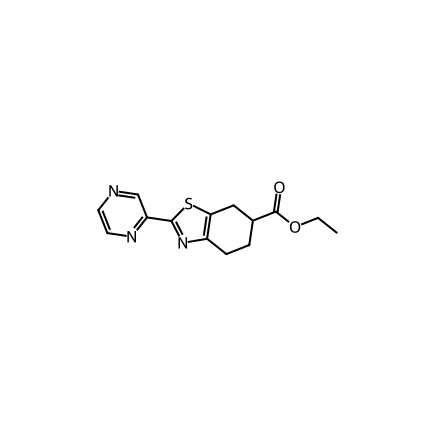 CCOC(=O)C1CCc2nc(-c3cnccn3)sc2C1